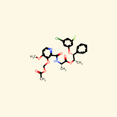 COc1ccnc(C(=O)N[C@@H](C)C(=O)O[C@@H](C)[C@H](Oc2cc(F)cc(Cl)c2)c2ccccc2)c1OCOC(C)=O